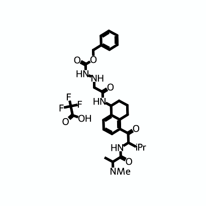 CNC(C)C(=O)NC(C(=O)c1cccc2c1CCCC2NC(=O)CNNC(=O)OCc1ccccc1)C(C)C.O=C(O)C(F)(F)F